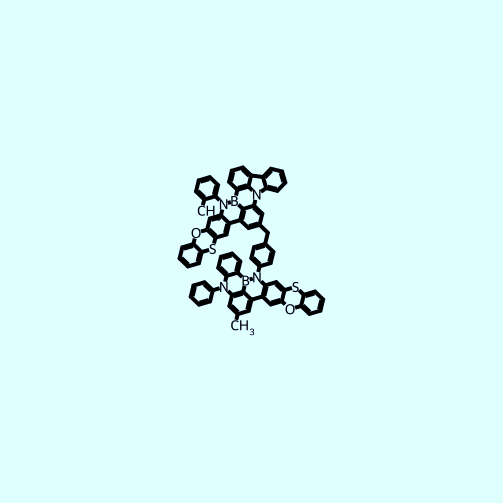 Cc1cc2c3c(c1)N(c1ccccc1)c1ccccc1B3N(c1ccc(Cc3cc4c5c(c3)-n3c6ccccc6c6cccc(c63)B5N(c3ccccc3C)c3cc5c(cc3-4)Sc3ccccc3O5)cc1)c1cc3c(cc1-2)Oc1ccccc1S3